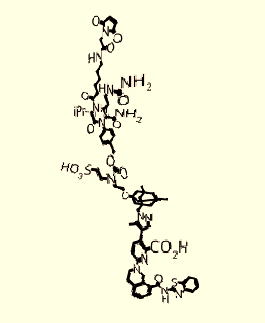 Cc1c(-c2ccc(N3CCc4cccc(C(=O)Nc5nc6ccccc6s5)c4C3)nc2C(=O)O)cnn1CC12CC3(C)CC(C)(C1)CC(OCCN(CCS(=O)(=O)O)C(=O)OCc1ccc(N(C(=O)[C@@H](NC(=O)CCCCCNC(=O)CN4C(=O)C=CC4=O)C(C)C)[C@@H](CCCNC(N)=O)C(N)=O)cc1)(C3)C2